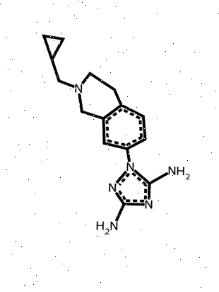 Nc1nc(N)n(-c2ccc3c(c2)CN(CC2CC2)CC3)n1